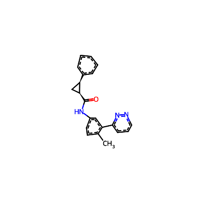 Cc1ccc(NC(=O)[C@H]2C[C@H]2c2ccccc2)cc1-c1cccnn1